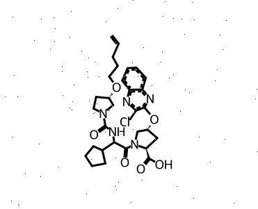 C=CCCCO[C@H]1CCN(C(=O)NC(C(=O)N2C[C@H](Oc3nc4ccccc4nc3Cl)C[C@H]2C(=O)O)C2CCCC2)C1